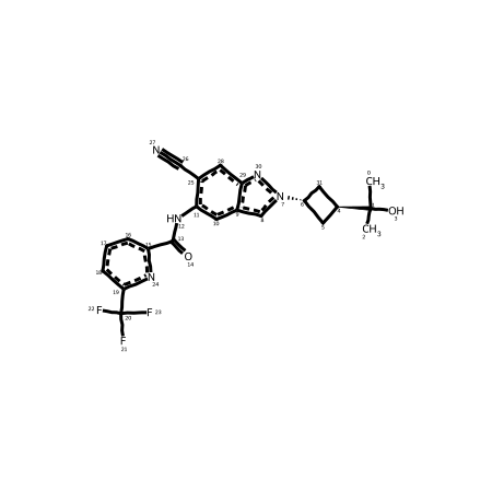 CC(C)(O)[C@H]1C[C@H](n2cc3cc(NC(=O)c4cccc(C(F)(F)F)n4)c(C#N)cc3n2)C1